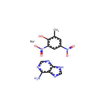 Cc1cc([N+](=O)[O-])cc([N+](=O)[O-])c1O.Nc1ncnc2[nH]cnc12.[Na+]